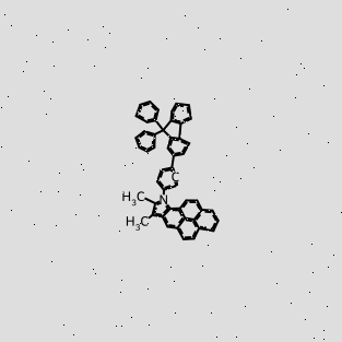 Cc1c(C)n(-c2ccc(-c3ccc4c(c3)C(c3ccccc3)(c3ccccc3)c3ccccc3-4)cc2)c2c1cc1ccc3cccc4ccc2c1c34